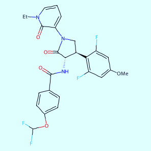 CCn1cccc(N2C[C@@H](c3c(F)cc(OC)cc3F)[C@H](NC(=O)c3ccc(OC(F)F)cc3)C2=O)c1=O